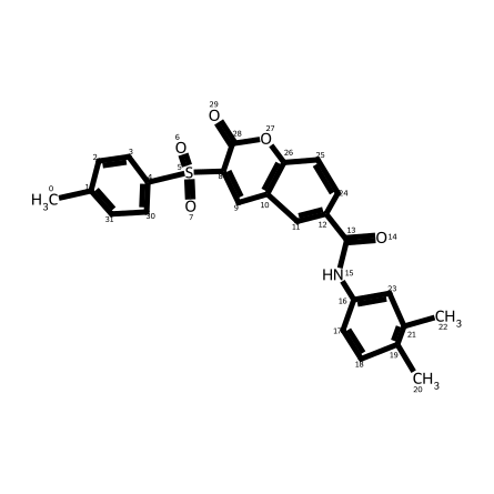 Cc1ccc(S(=O)(=O)c2cc3cc(C(=O)Nc4ccc(C)c(C)c4)ccc3oc2=O)cc1